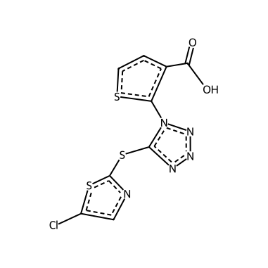 O=C(O)c1ccsc1-n1nnnc1Sc1ncc(Cl)s1